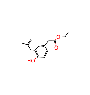 C=C(C)Cc1cc(CC(=O)OCC)ccc1O